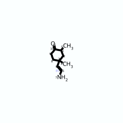 CC1CC(C)(/C=C/N)CCC1=O